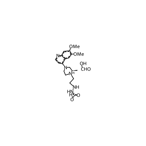 COc1cc2nccc(N3CCN(CCNN[SH](=O)=O)[C@H](C)C3)c2cc1OC.O=CO